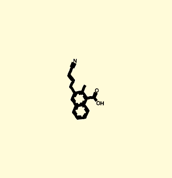 Cc1c(CC=CC#N)cc2ccccc2c1C(=O)O